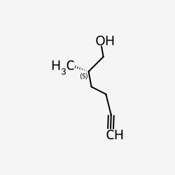 C#CCC[C@H](C)CO